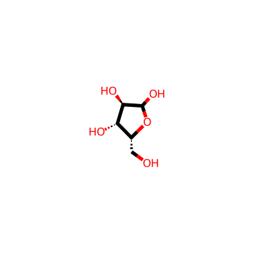 OC[C@H]1OC(O)[C@H](O)[C@H]1O